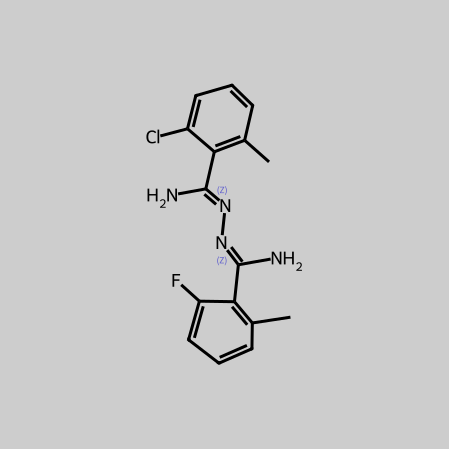 Cc1cccc(F)c1/C(N)=N/N=C(\N)c1c(C)cccc1Cl